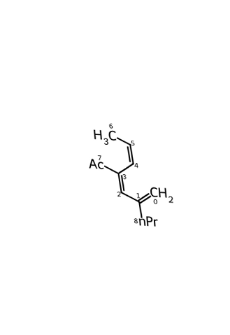 C=C(/C=C(\C=C/C)C(C)=O)CCC